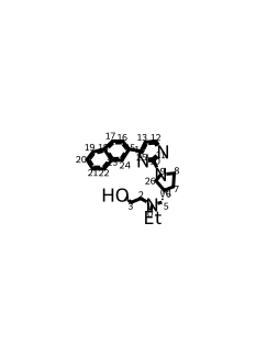 CCN(CCO)C[C@H]1CCN(c2nccc(-c3ccc4ccccc4c3)n2)C1